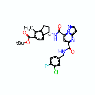 Cc1c(C(=O)OC(C)(C)C)ccc2c1CC[C@@H]2NC(=O)c1cc(C(=O)NCc2ccc(F)c(Cl)c2)nc2ccnn12